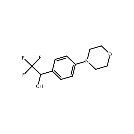 OC(c1ccc(N2CCOCC2)cc1)C(F)(F)F